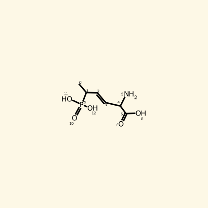 CC(/C=C/C(N)C(=O)O)P(=O)(O)O